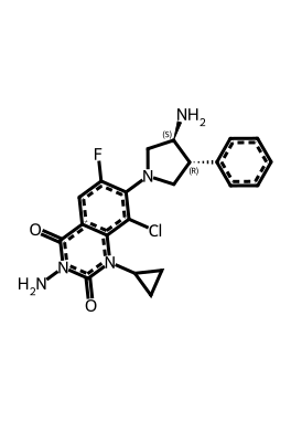 N[C@@H]1CN(c2c(F)cc3c(=O)n(N)c(=O)n(C4CC4)c3c2Cl)C[C@H]1c1ccccc1